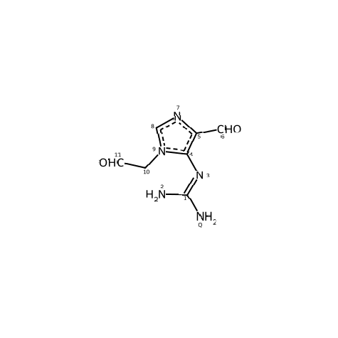 NC(N)=Nc1c(C=O)ncn1CC=O